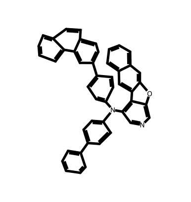 c1ccc(-c2ccc(N(c3ccc(-c4ccc5ccc6ccccc6c5c4)cc3)c3cncc4oc5cc6ccccc6cc5c34)cc2)cc1